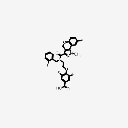 Cn1nc(C(=O)N(CCOc2c(F)cc(C(=O)O)cc2F)Cc2ccccc2F)c2c1-c1cc(F)ccc1OC2